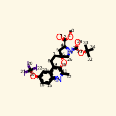 COC(=O)[C@@H]1CC2(CCc3c(c(C)nc4ccc(OC(I)(I)I)cc34)O2)CN1C(=O)OC(C)(C)C